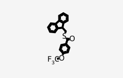 O=C(SCC1c2ccccc2-c2ccccc21)c1ccc(OC(F)(F)F)cc1